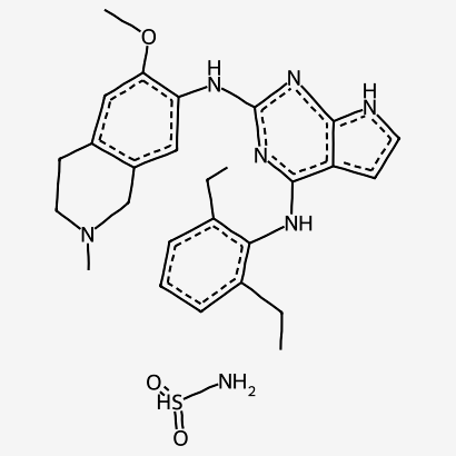 CCc1cccc(CC)c1Nc1nc(Nc2cc3c(cc2OC)CCN(C)C3)nc2[nH]ccc12.N[SH](=O)=O